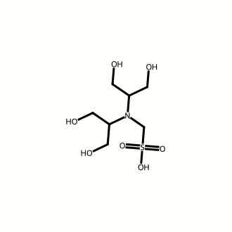 O=S(=O)(O)CN(C(CO)CO)C(CO)CO